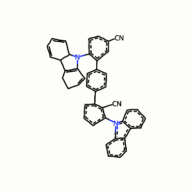 N#Cc1ccc(N2C3=C(CCC=C3)C3C=CC=CC32)c(-c2ccc(-c3cccc(-n4c5ccccc5c5ccccc54)c3C#N)cc2)c1